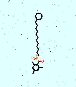 Cc1cc(C)c(C(=O)[PH](=O)CCCCCCCCCCCCC2CCCCC2)c(C)c1